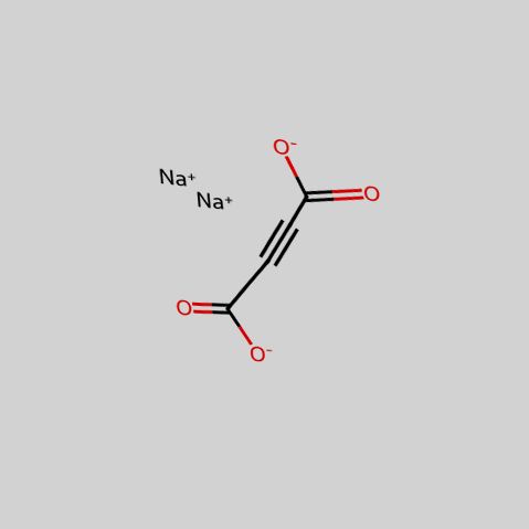 O=C([O-])C#CC(=O)[O-].[Na+].[Na+]